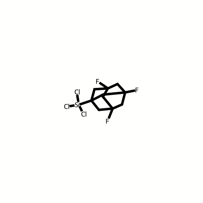 FC12CC3(F)CC(F)(C1)CC([Si](Cl)(Cl)Cl)(C2)C3